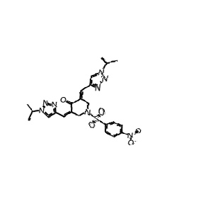 CC(C)n1cc(C=C2CN(S(=O)(=O)c3ccc([N+](=O)[O-])cc3)CC(=Cc3cn(C(C)C)nn3)C2=O)nn1